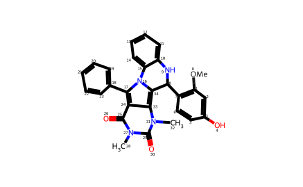 COc1cc(O)ccc1C1Nc2ccccc2-n2c(-c3ccccc3)c3c(=O)n(C)c(=O)n(C)c3c21